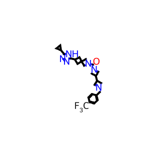 O=C(N1CC(C2CN(Cc3ccc(C(F)(F)F)cc3)C2)C1)N1CC2(CC(c3nnc(C4CC4)[nH]3)C2)C1